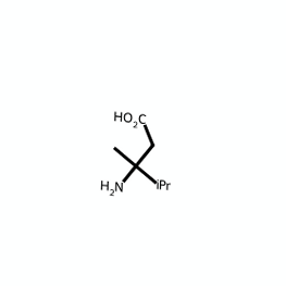 CC(C)C(C)(N)CC(=O)O